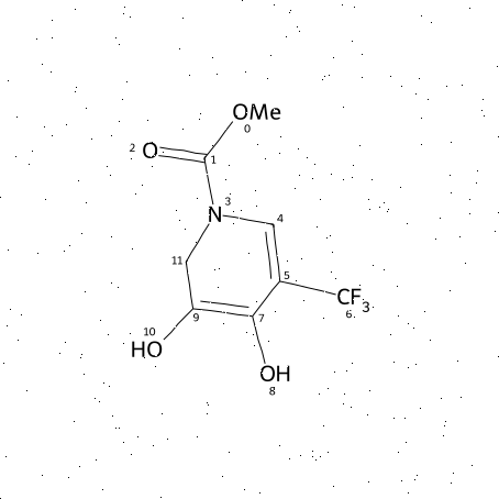 COC(=O)N1C=C(C(F)(F)F)C(O)=C(O)C1